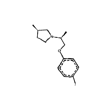 C[C@@H]1CCN([C@@H](C)COc2ccc(I)cc2)C1